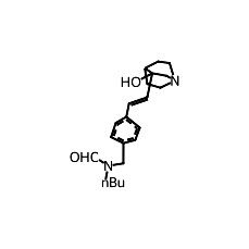 CCCCN(C=O)Cc1ccc(C=CC2(O)CN3CCC2CC3)cc1